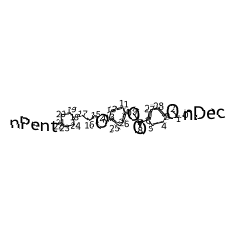 CCCCCCCCCCCOc1ccc(C(=O)Oc2ccc(OCCC[C@H]3CC[C@H](CCCCC)CC3)cc2)cc1